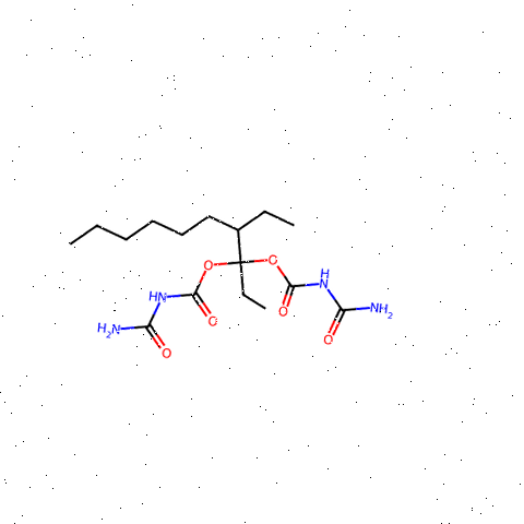 CCCCCCC(CC)C(CC)(OC(=O)NC(N)=O)OC(=O)NC(N)=O